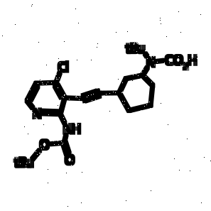 CC(C)(C)OC(=O)Nc1nccc(Cl)c1C#CC1CCCC(N(C(=O)O)C(C)(C)C)C1